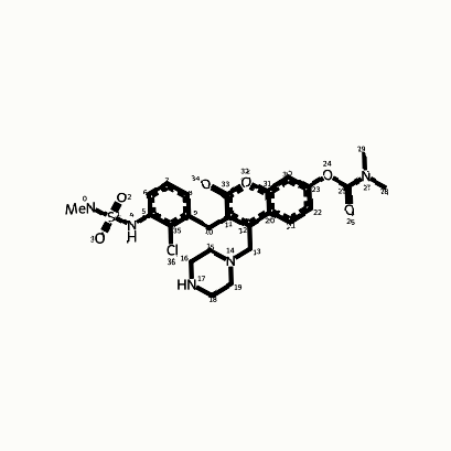 CNS(=O)(=O)Nc1cccc(Cc2c(CN3CCNCC3)c3ccc(OC(=O)N(C)C)cc3oc2=O)c1Cl